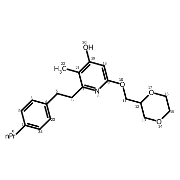 CCCc1ccc(CCc2nc(OCC3COCCO3)cc(O)c2C)cc1